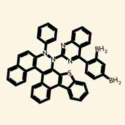 Bc1ccc(-c2nc(N3c4c(c5ccccc5c5c4sc4ccccc45)-c4c(ccc5ccccc45)N3c3ccccc3)nc3ccccc23)c(B)c1